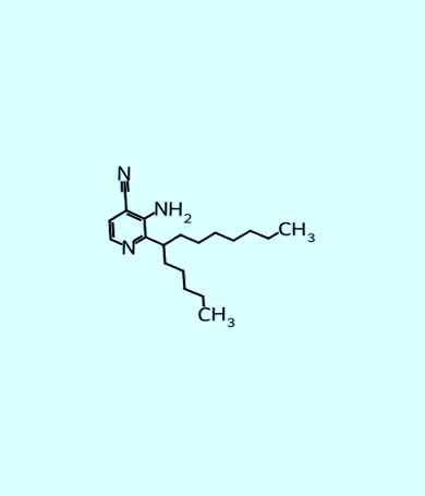 CCCCCCCC(CCCCC)c1nccc(C#N)c1N